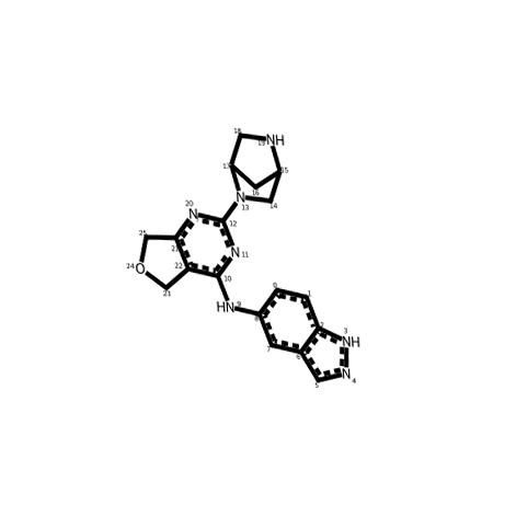 c1cc2[nH]ncc2cc1Nc1nc(N2CC3CC2CN3)nc2c1COC2